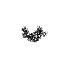 Fc1ccc2c(c1)c1ccccc1n2-c1ccccc1-c1ccc(N(c2ccc(-c3cccc4c3sc3ccccc34)cc2)c2ccccc2-c2ccccc2)cc1